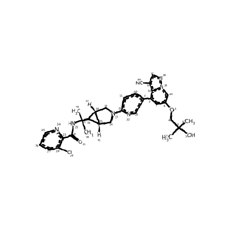 CC(C)(O)COc1cc(-c2ccc(N3C[C@@H]4C(C(C)(C)NC(=O)c5ncccc5Cl)[C@@H]4C3)nc2)c2c(C#N)cnn2c1